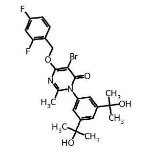 Cc1nc(OCc2ccc(F)cc2F)c(Br)c(=O)n1-c1cc(C(C)(C)O)cc(C(C)(C)O)c1